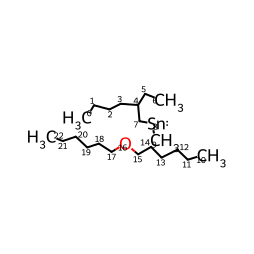 CCCCC(CC)[CH2][Sn][CH3].CCCCCCOCCCCCC